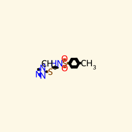 Cc1ccc(S(=O)(=O)NCCSc2nncn2C)cc1